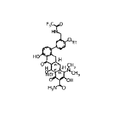 CCOc1ccc(-c2ccc(O)c3c2C[C@H]2C[C@H]4C(N(C)C)C(O)=C(C(N)=O)C(=O)[C@@]4(O)C(O)=C2C3=O)cc1CNC(=O)C(F)(F)F